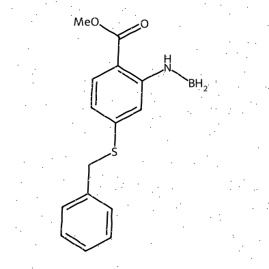 BNc1cc(SCc2ccccc2)ccc1C(=O)OC